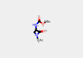 CC(=O)ON1CC(NC(=O)OC(C)(C)C)C1=O